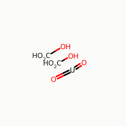 O=C(O)O.O=C(O)O.[O]=[U]=[O]